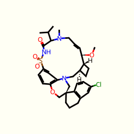 CO[C@@H]1/C=C/CN(C)C(C(C)C)C(=O)NS(=O)(=O)c2ccc3c(c2)N(C[C@@H]2CC[C@H]21)C[C@@]1(CCCc2cc(Cl)ccc21)CO3